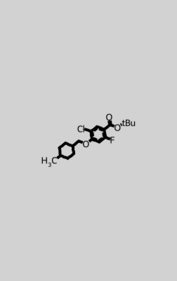 CC1CCC(COc2cc(F)c(C(=O)OC(C)(C)C)cc2Cl)CC1